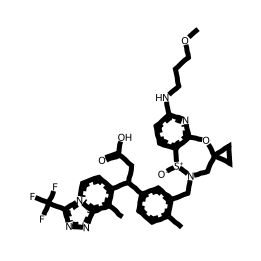 COCCCNc1ccc2c(n1)OC1(CC1)CN(Cc1cc(C(CC(=O)O)c3ccn4c(C(F)(F)F)nnc4c3C)ccc1C)[S+]2[O-]